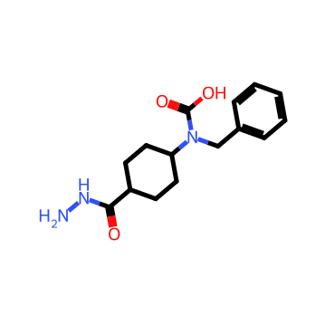 NNC(=O)C1CCC(N(Cc2ccccc2)C(=O)O)CC1